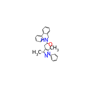 Cc1nn(-c2ccccc2)c(C)c1CC(=O)NCc1ccccc1-c1ccccc1